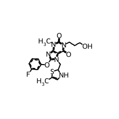 CC1=CNC(Cn2c(Oc3cccc(F)c3)nc3c2c(=O)n(CCCO)c(=O)n3C)S1